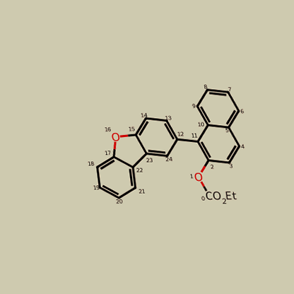 CCOC(=O)Oc1ccc2ccccc2c1-c1ccc2oc3ccccc3c2c1